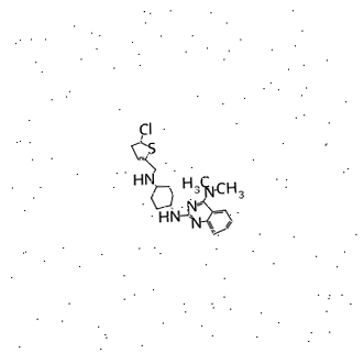 CN(C)c1nc(N[C@H]2CC[C@@H](NCC3=CCC(Cl)S3)CC2)nc2ccccc12